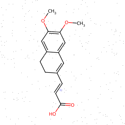 COc1cc2c(cc1OC)CCC(/C=C/C(=O)O)=C2